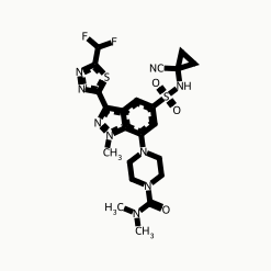 CN(C)C(=O)N1CCN(c2cc(S(=O)(=O)NC3(C#N)CC3)cc3c(-c4nnc(C(F)F)s4)nn(C)c23)CC1